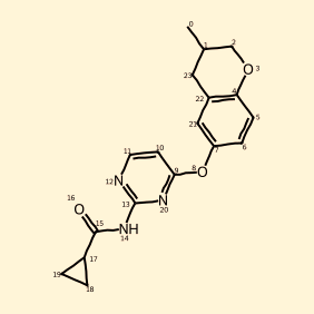 CC1COc2ccc(Oc3ccnc(NC(=O)C4CC4)n3)cc2C1